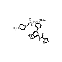 COc1ncc(-c2cc(NC(=O)c3cscn3)c3cn[nH]c3c2)cc1NS(=O)(=O)CCN1CCN(C)CC1